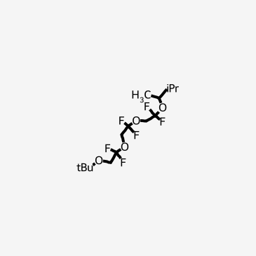 CC(C)C(C)OC(F)(F)COC(F)(F)COC(F)(F)COC(C)(C)C